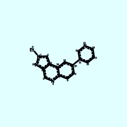 CCn1cc2c(cnc3ccc(-c4cccnc4)cc32)n1